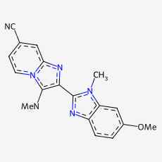 CNc1c(-c2nc3ccc(OC)cc3n2C)nc2cc(C#N)ccn12